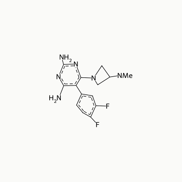 CNC1CN(c2nc(N)nc(N)c2-c2ccc(F)c(F)c2)C1